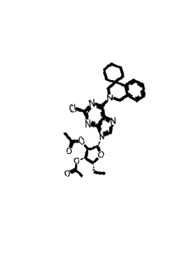 CC[C@H]1O[C@@H](n2cnc3c(N4Cc5ccccc5C5(CCCCC5)C4)nc(Cl)nc32)C(OC(C)=O)[C@H]1OC(C)=O